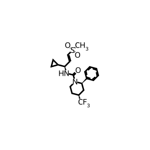 CS(=O)(=O)/C=C/[C@@H](NC(=O)N1CC[C@H](C(F)(F)F)C[C@@H]1c1ccccc1)C1CC1